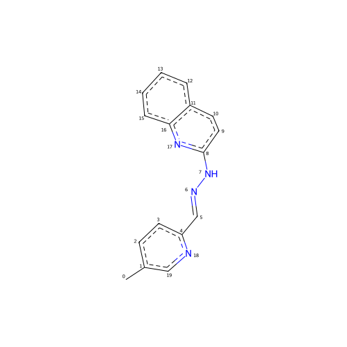 Cc1ccc(C=NNc2ccc3ccccc3n2)nc1